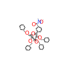 CON(C)C(=O)c1cccc([C@@H]2O[C@H](COCc3ccccc3)[C@@H](OCc3ccccc3)[C@H](OCc3ccccc3)[C@H]2OCc2ccccc2)c1